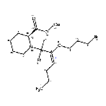 CCC(C)(/C(=C\CCC(F)(F)F)OCCCBr)N1CCCC[C@H]1C(=O)OC(C)(C)C